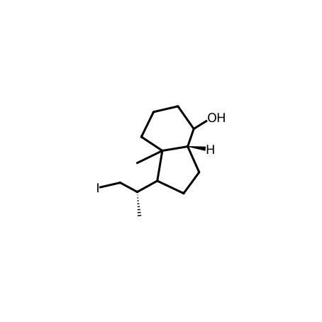 C[C@H](CI)C1CC[C@H]2C(O)CCCC12C